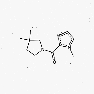 Cn1ccnc1C(=O)N1CCC(C)(C)C1